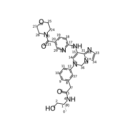 C[C@H](CO)NC(=O)Cc1cccc(N2C=C(Nc3ccc(C(=O)N4CCOCC4)cn3)C3=NC=C[N+]3C2)c1